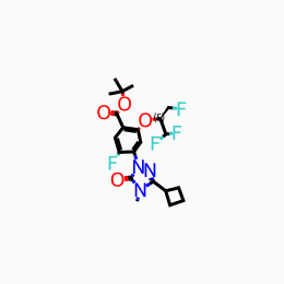 Cn1c(C2CCC2)nn(-c2cc(O[C@@H](CF)C(F)F)c(C(=O)OC(C)(C)C)cc2F)c1=O